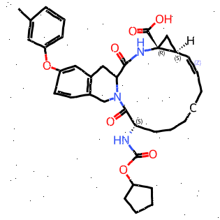 Cc1cccc(Oc2ccc3c(c2)CC2C(=O)N[C@]4(C(=O)O)C[C@H]4/C=C\CCCCC[C@H](NC(=O)OC4CCCC4)C(=O)N2C3)c1